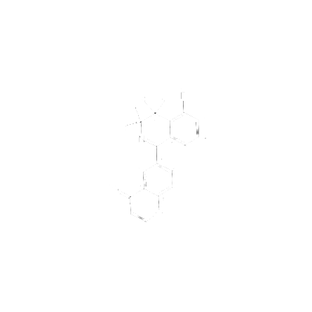 CC1(C)N=C(c2ccc3occc(=O)c3c2)c2cccc(F)c2C1(C)C